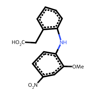 COc1cc([N+](=O)[O-])ccc1Nc1ccccc1CC(=O)O